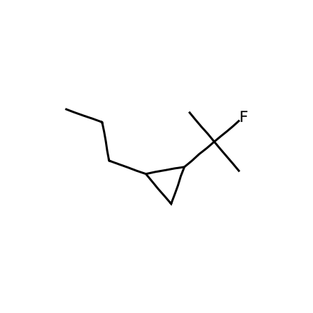 CCCC1CC1C(C)(C)F